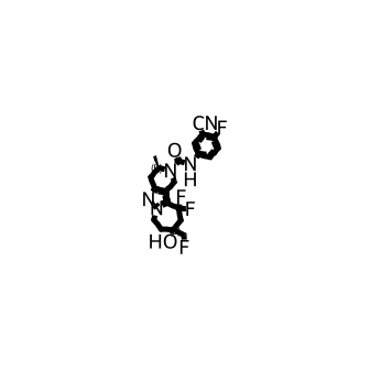 C[C@@H]1Cc2nn3c(c2CN1C(=O)Nc1ccc(F)c(C#N)c1)C(F)(F)C[C@](O)(CF)CC3